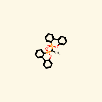 CC(P1(=O)Oc2ccccc2-c2ccccc21)P1(=O)Oc2ccccc2-c2ccccc21